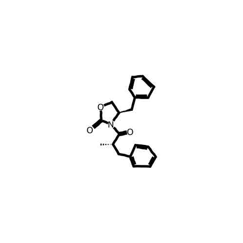 C[C@@H](Cc1ccccc1)C(=O)N1C(=O)OC[C@H]1Cc1ccccc1